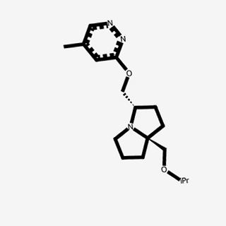 Cc1cnnc(OC[C@@H]2CC[C@]3(COC(C)C)CCCN23)c1